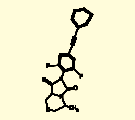 CC1COCC2C(=O)N(c3c(F)cc(C#Cc4ccccc4)cc3F)C(=O)N12